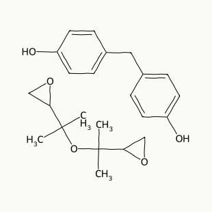 CC(C)(OC(C)(C)C1CO1)C1CO1.Oc1ccc(Cc2ccc(O)cc2)cc1